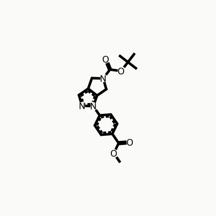 COC(=O)c1ccc(-n2ncc3c2CN(C(=O)OC(C)(C)C)C3)cc1